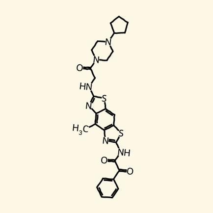 Cc1c2nc(NCC(=O)N3CCN(C4CCCC4)CC3)sc2cc2sc(NC(=O)C(=O)c3ccccc3)nc12